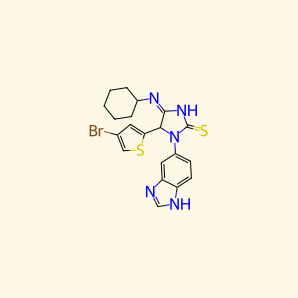 S=C1N/C(=N/C2CCCCC2)C(c2cc(Br)cs2)N1c1ccc2[nH]cnc2c1